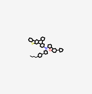 CCCCc1ccc(-c2cccc(N(c3ccc4c(c3)c3ccccc3c3cc5c(cc43)sc3ccccc35)c3cccc4c3oc3ccc(-c5ccccc5)cc34)c2)cc1